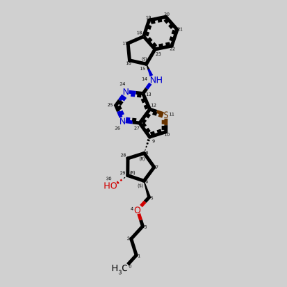 CCCCOC[C@@H]1C[C@@H](c2csc3c(N[C@H]4CCc5ccccc54)ncnc23)C[C@H]1O